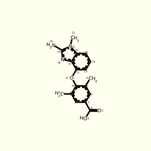 Cc1cc(C(=O)O)cc(C)c1Oc1cccc2c1nc(N)n2C